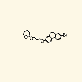 Brc1ccc2c(c1)CCc1cc(OCCCOC3CCCCO3)ccc1-2